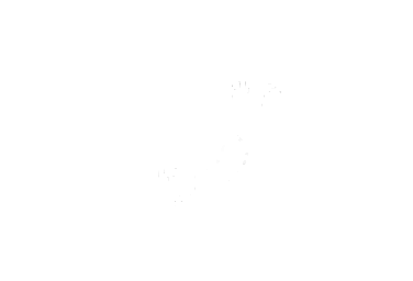 CCP(CC)c1[c]ccc(P(CC)CC)c1